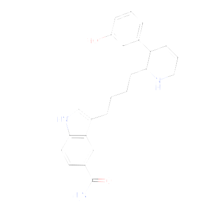 NC(=O)c1ccc2[nH]cc(CCCCC3NCC=CC3c3cccc(O)c3)c2c1